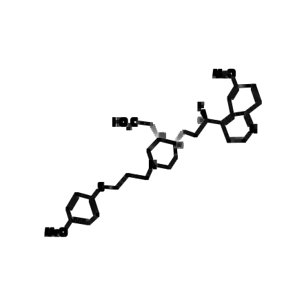 COc1ccc(SCCCN2CC[C@@H](CC[C@@H](F)c3ccnc4ccc(OC)cc34)[C@@H](CC(=O)O)C2)cc1